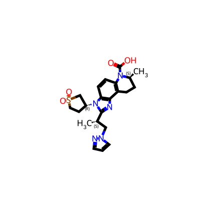 C[C@@H](Cn1cccn1)c1nc2c3c(ccc2n1[C@@H]1CCS(=O)(=O)C1)N(C(=O)O)[C@@H](C)CC3